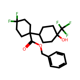 O=C(OCc1ccccc1)C1(C2CCC(O)(C(F)(F)F)CC2)CCC(F)(F)CC1